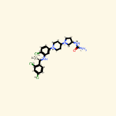 C[C@@H](Nc1cc(N2CCC(N3CCC(NC(N)=O)C3)CC2)ccc1Cl)c1ccc(Cl)cc1Cl